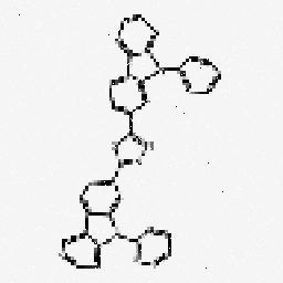 c1ccc(-n2c3ccccc3c3ccc(-c4nnc(-c5ccc6c7ccccc7n(-c7ccccc7)c6c5)s4)cc32)cc1